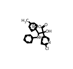 COC(=O)C(O)(c1ccc(Cl)nc1)C(Nc1ccccc1)c1ccc(C)cc1